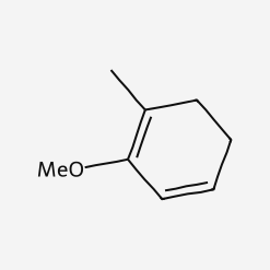 COC1=C(C)CCC=C1